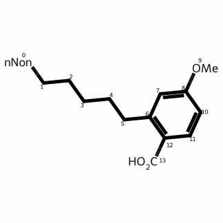 CCCCCCCCCCCCCCc1cc(OC)ccc1C(=O)O